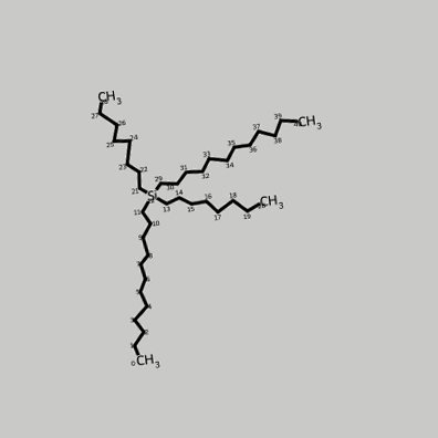 CCCCCCCCCCCC[Si](CCCCCCCC)(CCCCCCCC)CCCCCCCCCCCC